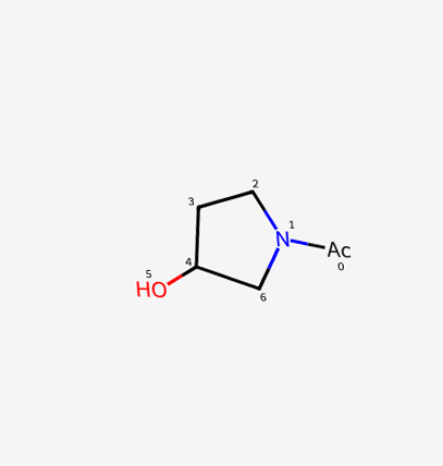 [CH2]C(=O)N1CCC(O)C1